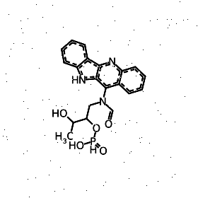 CC(O)C(CN(C=O)c1c2ccccc2nc2c1[nH]c1ccccc12)O[PH](=O)O